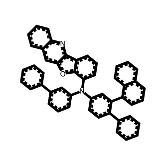 c1ccc(-c2cccc(N(c3ccc(-c4ccccc4)c(-c4cccc5ccccc45)c3)c3cccc4c3oc3cc5ccccc5nc34)c2)cc1